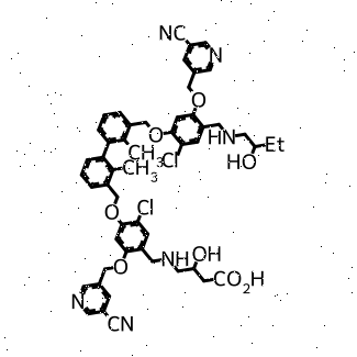 CCC(O)CNCc1cc(Cl)c(OCc2cccc(-c3cccc(COc4cc(OCc5cncc(C#N)c5)c(CNCC(O)CC(=O)O)cc4Cl)c3C)c2C)cc1OCc1cncc(C#N)c1